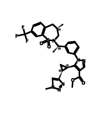 COC(=O)c1cnn(-c2cccc([C@H](C)N3C[C@@H](C)Cc4ccc(C(F)(F)F)cc4S3(=O)=O)c2)c1[C@@H]1C[C@H]1c1cn(C)nn1